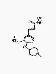 CN1CCC(Nc2ncc(C=CC(=O)NO)cc2Cl)CC1.Cl.Cl